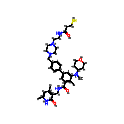 CCN(c1cc(-c2ccc(CN3CCN(CCNC(=O)CCS)CC3)cc2)cc(C(=O)NCc2c(C)cc(C)[nH]c2=O)c1C)C1CCOCC1